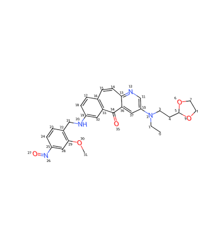 CCN(CCC1OCCO1)c1cnc2ccc3ccc(NCc4ccc(N=O)cc4OC)cc3c(=O)c2c1